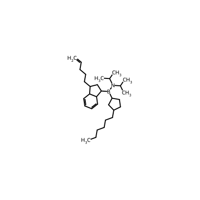 C=CCCCC1CC(B(C2CCC(CCCCCC)C2)N(C(C)C)C(C)C)C2C=CC=CC12